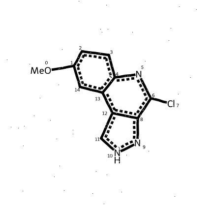 COc1ccc2nc(Cl)c3n[nH]cc3c2c1